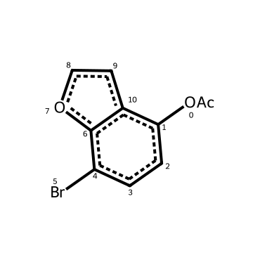 CC(=O)Oc1ccc(Br)c2occc12